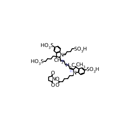 CC1(CCCCS(=O)(=O)O)C(/C=C/C=C/C=C2/N(CCCCCC(=O)ON3C(=O)CCC3=O)c3ccc(S(=O)(=O)O)cc3C2(C)C)=[N+](CCCCS(=O)(=O)O)c2ccc(S(=O)(=O)O)cc21